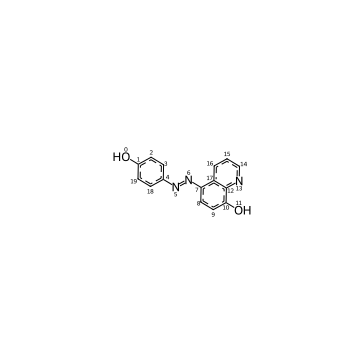 Oc1ccc(N=Nc2ccc(O)c3ncccc23)cc1